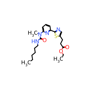 CCCCCCNC(=O)N(C)c1cccc(-c2ncc(CCC(=O)OCC)s2)n1